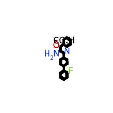 Nc1c(-c2ccc(-c3ccccc3F)cc2)nc2ccccc2c1OC(=O)O